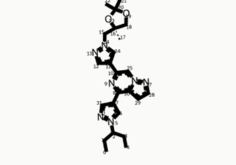 CCC(CC)n1cc(-c2nc(-c3cnn(C[C@]4(C)COC(C)(C)O4)c3)cn3nccc23)cn1